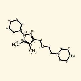 Cc1c(COCCN2CCOCC2)nn(C2CCCCC2)c1C